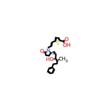 C[C@@H](CCc1ccccc1)[C@@H](O)/C=C\[C@H]1CCC(=O)N1CC=Cc1ccc(C(=O)O)s1